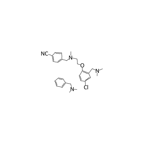 CN(C)Cc1cc(Cl)ccc1OCCN(C)Cc1ccc(C#N)cc1.CN(C)Cc1ccccc1